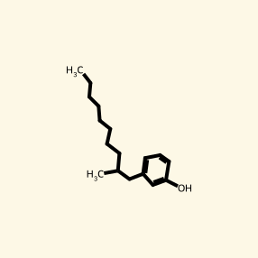 CCCCCCCCC(C)Cc1cccc(O)c1